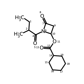 CCC(C)C(=O)N1C(=O)CC1OC(=O)C1CCCCC1